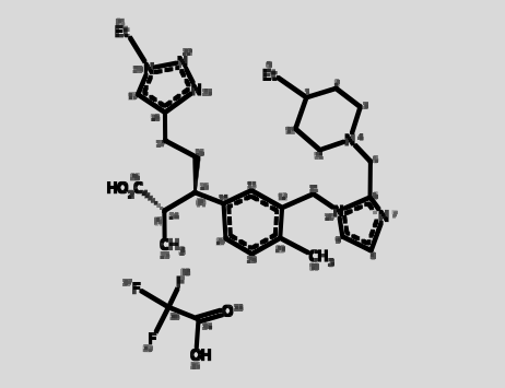 CCC1CCN(Cc2nccn2Cc2cc([C@H](CCc3cn(CC)nn3)[C@H](C)C(=O)O)ccc2C)CC1.O=C(O)C(F)(F)F